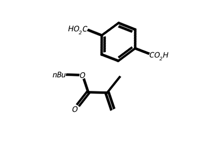 C=C(C)C(=O)OCCCC.O=C(O)c1ccc(C(=O)O)cc1